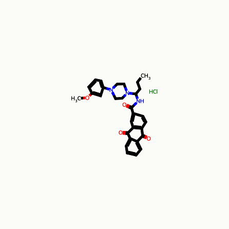 CCCC(NC(=O)c1ccc2c(c1)C(=O)c1ccccc1C2=O)N1CCN(c2cccc(OC)c2)CC1.Cl